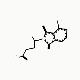 C=C(CCC(C=O)n1c(=C)c2cccc(C)c2c1=C)NC